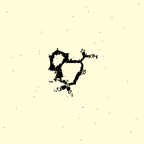 O=C(O)C1=c2ccccc2=NS(=O)(=O)C=C1